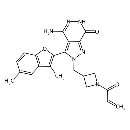 C=CC(=O)N1CC(Cn2nc3c(=O)[nH]nc(N)c3c2-c2oc3ccc(C)cc3c2C)C1